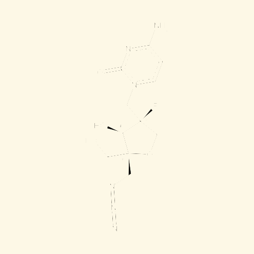 [N-]=[N+]=NC[C@]1(CO)OC[C@@](F)(Cn2ccc(N)nc2=O)[C@@H]1O